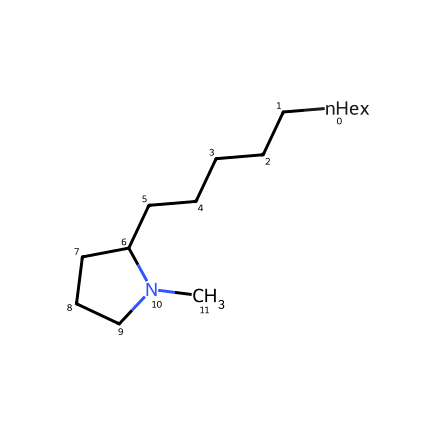 CCCCCCCCCCCC1CCCN1C